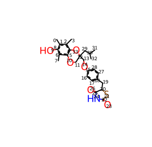 Cc1c(C)c2c(c(C)c1O)OCC(COc1ccc(CC3SC(=O)NC3=O)cc1)(CC(C)C)O2